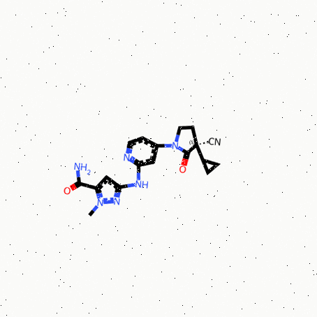 Cn1nc(Nc2cc(N3CC[C@@](C#N)(C4CC4)C3=O)ccn2)cc1C(N)=O